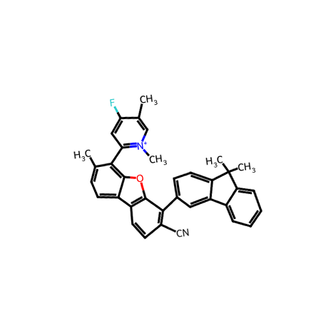 Cc1c[n+](C)c(-c2c(C)ccc3c2oc2c(-c4ccc5c(c4)-c4ccccc4C5(C)C)c(C#N)ccc23)cc1F